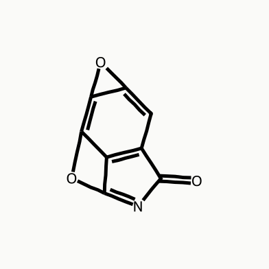 O=c1nc2c3c(c4oc4cc13)O2